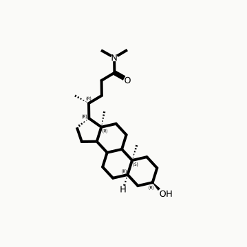 C[C@H](CCC(=O)N(C)C)[C@H]1CCC2C3CC[C@@H]4C[C@H](O)CC[C@]4(C)C3CC[C@@]21C